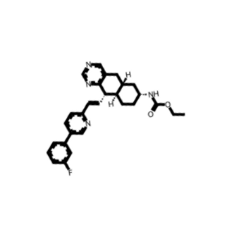 CCOC(=O)N[C@@H]1CC[C@@H]2[C@H](Cc3cncnc3[C@H]2/C=C/c2ccc(-c3cccc(F)c3)cn2)C1